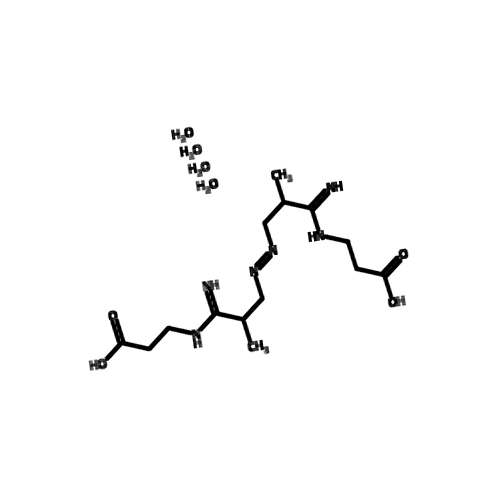 CC(CN=NCC(C)C(=N)NCCC(=O)O)C(=N)NCCC(=O)O.O.O.O.O